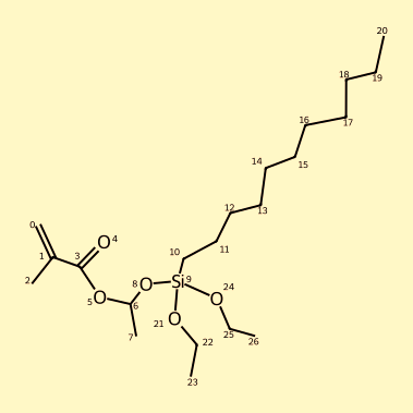 C=C(C)C(=O)OC(C)O[Si](CCCCCCCCCCC)(OCC)OCC